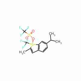 CC1=Cc2ccc(C(C)C)cc2S1(OS(=O)(=O)C(F)(F)F)C(F)(F)F